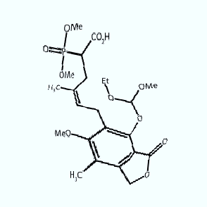 CCOC(OC)Oc1c(CC=C(C)CC(C(=O)O)P(=O)(OC)OC)c(OC)c(C)c2c1C(=O)OC2